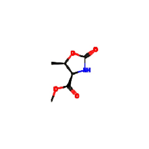 COC(=O)[C@@H]1NC(=O)O[C@@H]1C